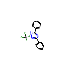 F[B-](F)(F)F.c1ccc(C2=N[NH2+]C(c3ccccc3)=N2)cc1